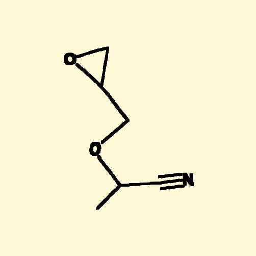 CC(C#N)OCC1CO1